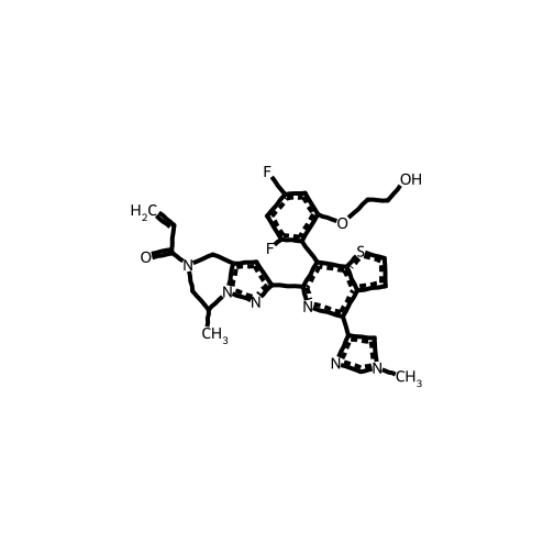 C=CC(=O)N1Cc2cc(-c3nc(-c4cn(C)cn4)c4ccsc4c3-c3c(F)cc(F)cc3OCCO)nn2C(C)C1